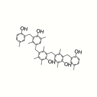 Cc1ccc(O)c(Cc2c(C)c(Cc3c(C)c(C)c(O)c(Cc4cc(C)c(O)c(Cc5cc(C)ccc5O)c4C)c3C)cc(C)c2O)c1